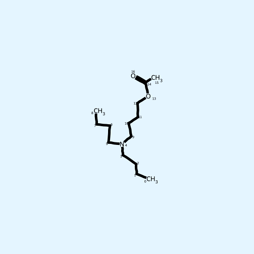 CCCCN(CCCC)CCCCOC(C)=O